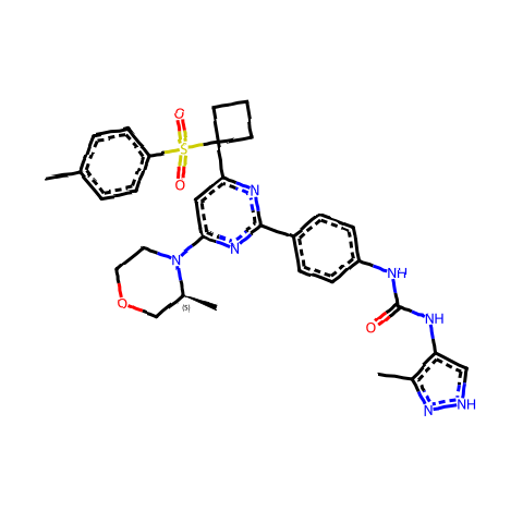 Cc1ccc(S(=O)(=O)C2(c3cc(N4CCOC[C@@H]4C)nc(-c4ccc(NC(=O)Nc5c[nH]nc5C)cc4)n3)CCC2)cc1